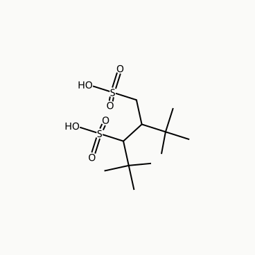 CC(C)(C)C(CS(=O)(=O)O)C(C(C)(C)C)S(=O)(=O)O